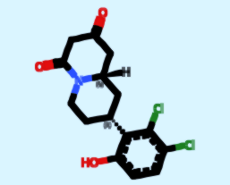 O=C1CC(=O)N2CC[C@@H](c3c(O)ccc(Cl)c3Cl)C[C@H]2C1